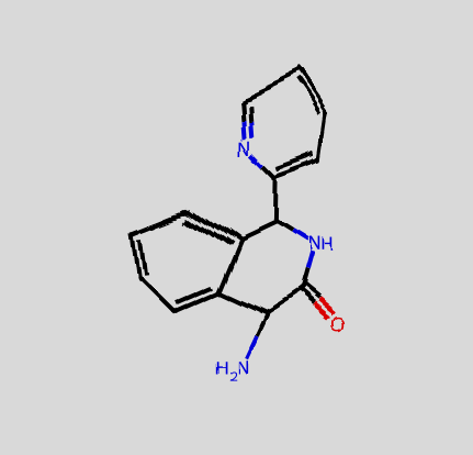 NC1C(=O)NC(c2ccccn2)c2ccccc21